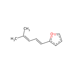 CC(C)=C/C=C/c1ccco1